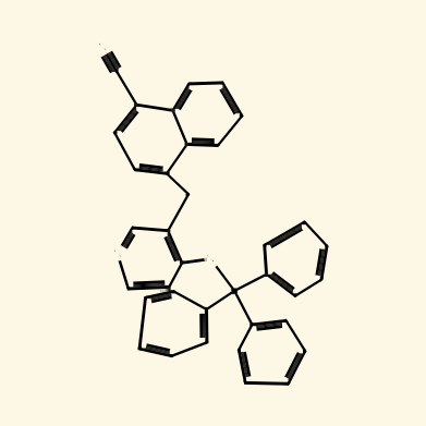 N#Cc1ccc(Cc2cnccc2NC(c2ccccc2)(c2ccccc2)c2ccccc2)c2ccccc12